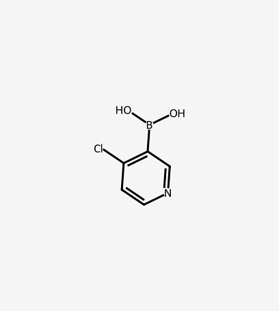 OB(O)c1cnccc1Cl